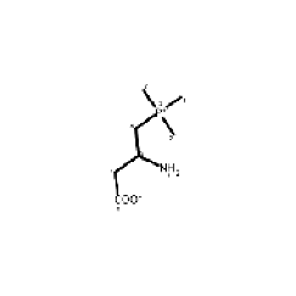 C[P+](C)(C)CC(N)CC(=O)[O-]